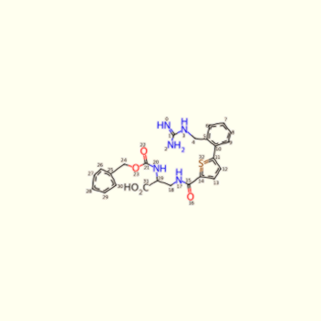 N=C(N)NCc1ccccc1-c1ccc(C(=O)NCC(NC(=O)OCc2ccccc2)C(=O)O)s1